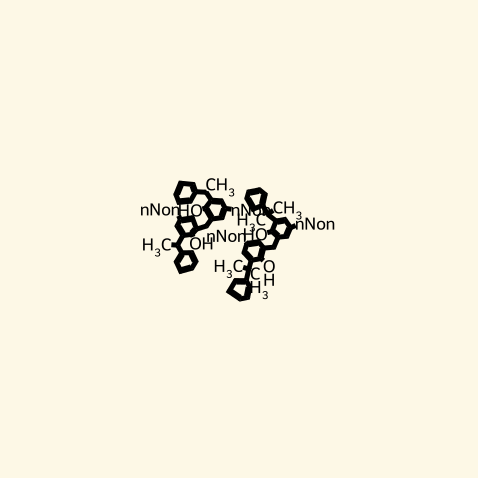 CCCCCCCCCc1cc(Cc2cc(CCCCCCCCC)cc(C(C)(C)c3ccccc3)c2O)c(O)c(C(C)(C)c2ccccc2)c1.CCCCCCCCCc1cc(Cc2cc(CCCCCCCCC)cc(C(C)c3ccccc3)c2O)c(O)c(C(C)c2ccccc2)c1